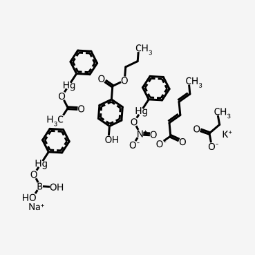 C/C=C/C=C/C(=O)[O-].CC(=O)[O][Hg][c]1ccccc1.CCC(=O)[O-].CCCOC(=O)c1ccc(O)cc1.O=[N+]([O-])[O][Hg][c]1ccccc1.OB(O)[O][Hg][c]1ccccc1.[K+].[Na+]